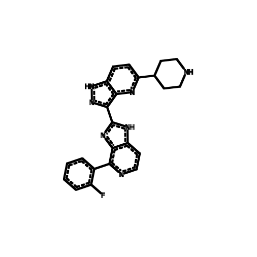 Fc1ccccc1-c1nccc2[nH]c(-c3n[nH]c4ccc(C5CCNCC5)nc34)nc12